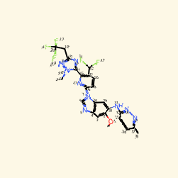 COc1cc2ncn(-c3ccc(C(F)F)c(-c4nc(CC(F)(F)F)nn4C)n3)c2cc1Nc1ccc(C)nn1